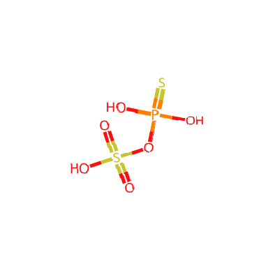 O=S(=O)(O)OP(O)(O)=S